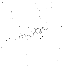 CCOC(=O)C=C(C)C(C)=C(C)CC(C)CCCC(C)(C)CC